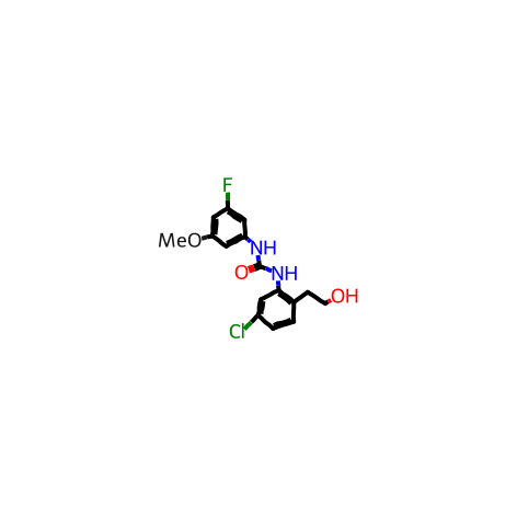 COc1cc(F)cc(NC(=O)Nc2cc(Cl)ccc2CCO)c1